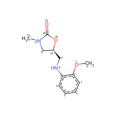 COc1ccccc1NC[C@H]1CN(C)C(=O)O1